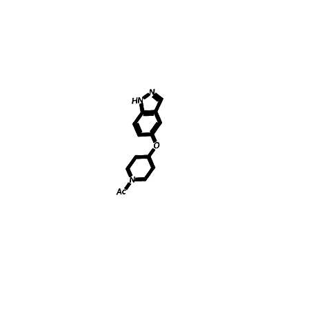 CC(=O)N1CCC(Oc2ccc3[nH]ncc3c2)CC1